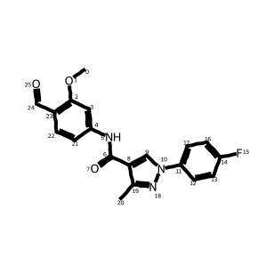 COc1cc(NC(=O)c2cn(-c3ccc(F)cc3)nc2C)ccc1C=O